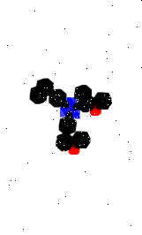 c1ccc2c(-c3ccc(-c4nc(-c5ccc(-c6cccc7oc8ccccc8c67)cc5)nc(-c5cc6oc7ccccc7c6c6ccccc56)n4)cc3)cccc2c1